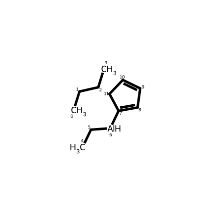 CCCC.C[CH2][AlH][C]1=CC=CC1